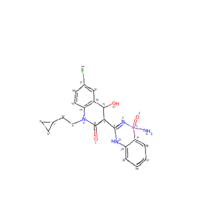 NP1(=O)N=C(C2C(=O)N(CCC3CC3)c3ccc(F)cc3C2O)Nc2ccccc21